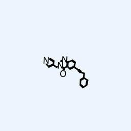 O=c1c2cc(C#CCc3ccccc3)ccc2ncn1Cc1ccncc1